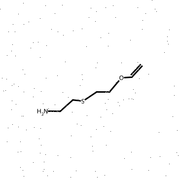 C=COCCSCCN